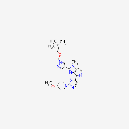 COC1CCN(c2nccc(-c3n[c]cc4c3nc(-c3cnn(COCC[Si](C)(C)C)c3)n4C)n2)CC1